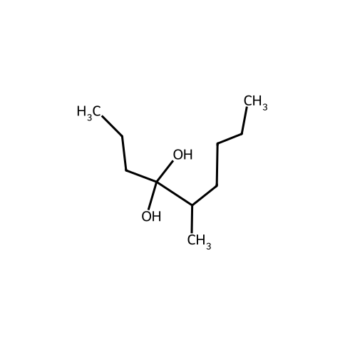 CCCCC(C)C(O)(O)CCC